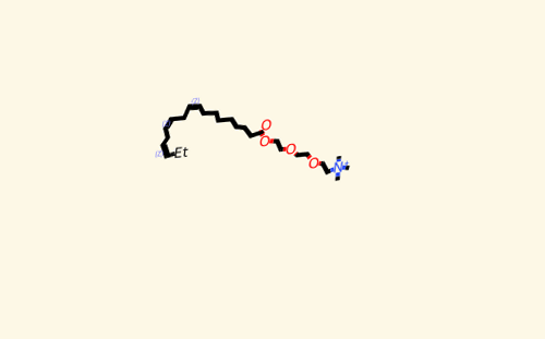 CC/C=C\C/C=C\C/C=C\CCCCCCCC(=O)OCCOCCOCC[N+](C)(C)C